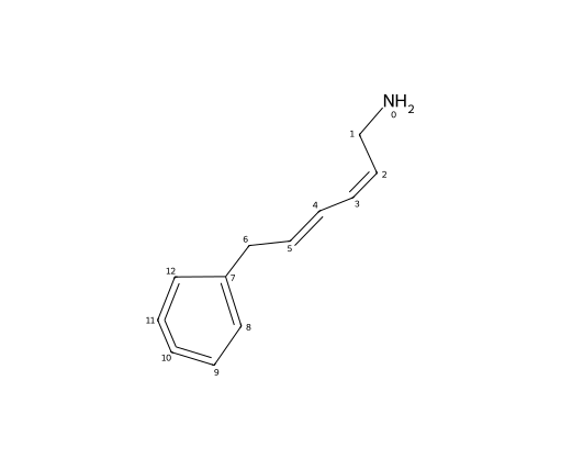 NC/C=C\C=CCC1=CC=C=C=C1